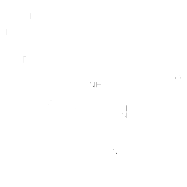 O=C(Nc1cccc(C(F)(F)F)c1)c1cccnc1NCC1COC1